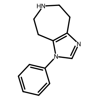 c1ccc(-n2cnc3c2CCNCC3)cc1